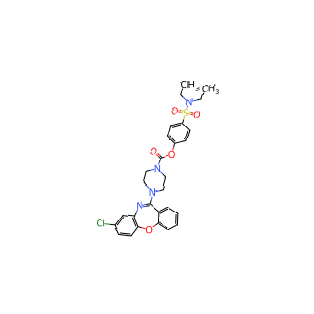 CCN(CC)S(=O)(=O)c1ccc(OC(=O)N2CCN(C3=Nc4cc(Cl)ccc4Oc4ccccc43)CC2)cc1